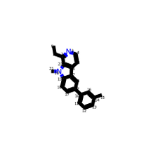 CCc1nccc2c3cc(-c4cccc(C)c4)ccc3n(C)c12